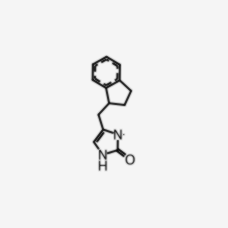 O=C1[N]C(CC2CCc3ccccc32)=CN1